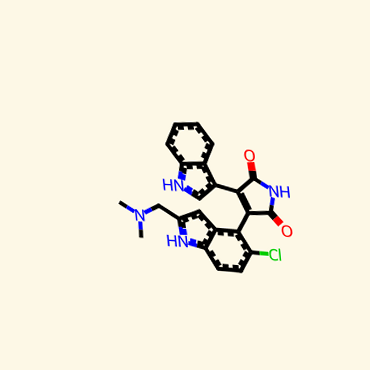 CN(C)Cc1cc2c(C3=C(c4c[nH]c5ccccc45)C(=O)NC3=O)c(Cl)ccc2[nH]1